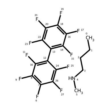 CCCCNC.Fc1c(F)c(F)c(-c2c(F)c(F)c(F)c(F)c2F)c(F)c1F